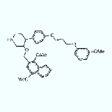 COc1cccc(OCCCOc2ccc(C3CCNCC3OCc3cc(OC)c4ccccc4c3OC)cc2)c1